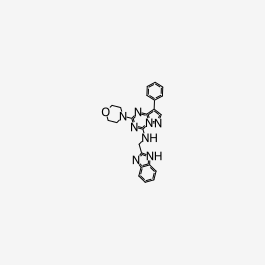 c1ccc(-c2cnn3c(NCc4nc5ccccc5[nH]4)nc(N4CCOCC4)nc23)cc1